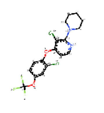 FC(F)(F)Oc1ccc(Oc2ccnc(N3CC[CH]CC3)c2Cl)c(Cl)c1